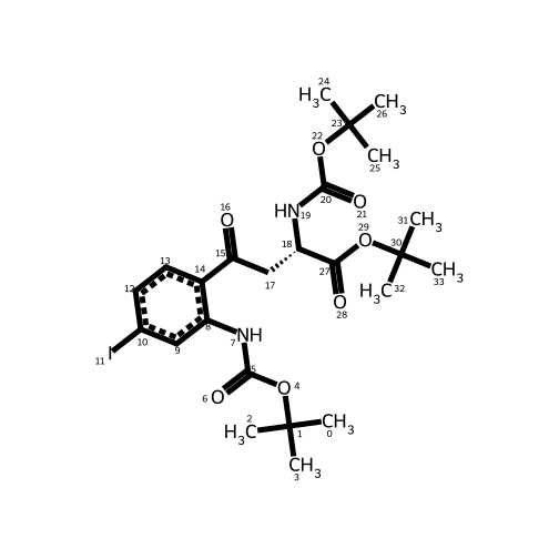 CC(C)(C)OC(=O)Nc1cc(I)ccc1C(=O)C[C@H](NC(=O)OC(C)(C)C)C(=O)OC(C)(C)C